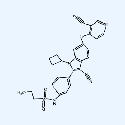 CCCS(=O)(=O)Nc1ccc(-c2c(C#N)c3ccc(Oc4ccncc4C#N)cc3n2C2CCC2)cc1